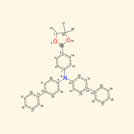 CC1OB(c2ccc(N(c3ccc(-c4ccccc4)cc3)c3ccc(-c4ccccc4)cc3)cc2)OC1(C)C